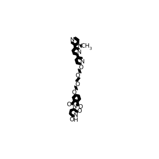 Cn1c2ccncc2c2ccc(-c3ccc(OCCOCCOCCOc4ccc5c(c4)C(=O)N(C4CCC(=O)NC4=O)C5=O)nc3)nc21